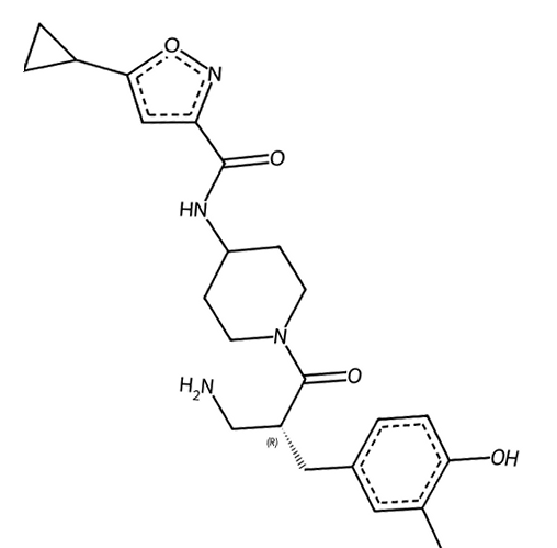 Cc1cc(C[C@H](CN)C(=O)N2CCC(NC(=O)c3cc(C4CC4)on3)CC2)ccc1O